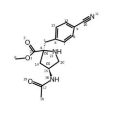 COC(=O)[C@]1(Cc2ccc(C#N)cc2)C[C@H](NC(C)=O)CN1